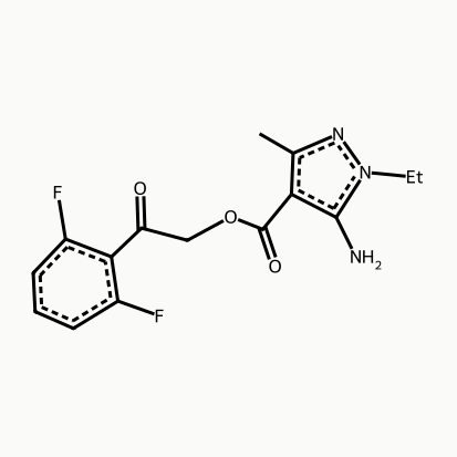 CCn1nc(C)c(C(=O)OCC(=O)c2c(F)cccc2F)c1N